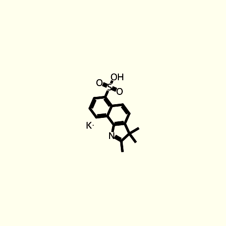 CC1=Nc2c(ccc3c(S(=O)(=O)O)cccc23)C1(C)C.[K]